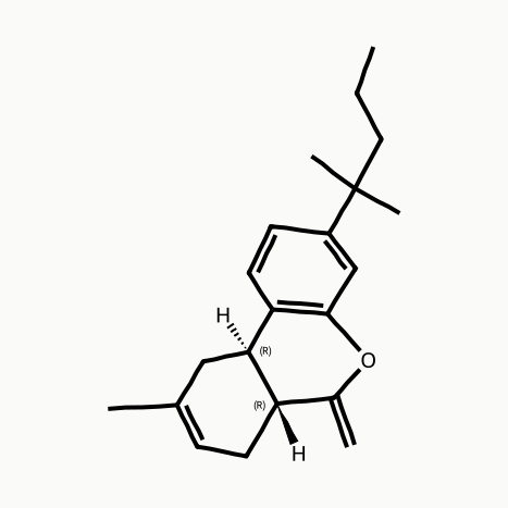 C=C1Oc2cc(C(C)(C)CCC)ccc2[C@@H]2CC(C)=CC[C@@H]12